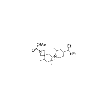 CCCC(CC)C1CCN(C2CC3(CN(C(=O)OC)C3)C(C)CC2(C)C)C(C)C1